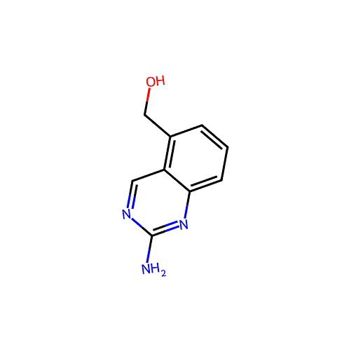 Nc1ncc2c(CO)cccc2n1